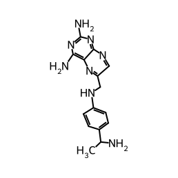 CC(N)c1ccc(NCc2cnc3nc(N)nc(N)c3n2)cc1